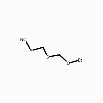 CCO[C]SCSC#N